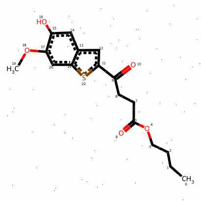 CCCCOC(=O)CCC(=O)c1cc2cc(O)c(OC)cc2s1